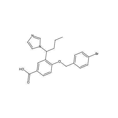 CCCC(c1cc(C(=O)O)ccc1OCc1ccc(Br)cc1)n1ccnc1